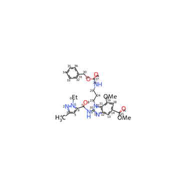 CCn1nc(C)cc1C(=O)Nc1nc2cc(C(=O)OC)cc(OC)c2n1CCCNC(=O)OCc1ccccc1